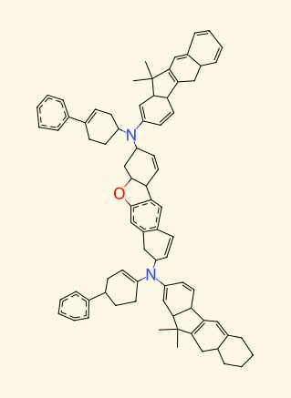 CC1(C)C2=C(CC3C=CC=CC3=C2)C2C=CC(N(C3C=CC4c5cc6c(cc5OC4C3)CC(N(C3=CC4C(C=C3)C3=C(CC5CCCCC5=C3)C4(C)C)C3=CCC(c4ccccc4)CC3)C=C6)C3CC=C(c4ccccc4)CC3)=CC21